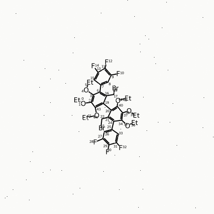 CCOc1c(OCC)c(-c2cc(F)c(F)c(F)c2)c(CBr)c(-c2c(CBr)c(-c3cc(F)c(F)c(F)c3)c(OCC)c(OCC)c2OCC)c1OCC